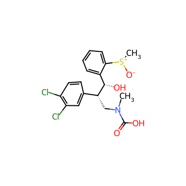 CN(C[C@H](c1ccc(Cl)c(Cl)c1)[C@@H](O)c1ccccc1[S+](C)[O-])C(=O)O